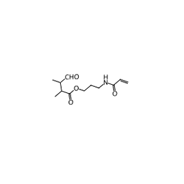 C=CC(=O)NCCCOC(=O)C(C)C(C)C=O